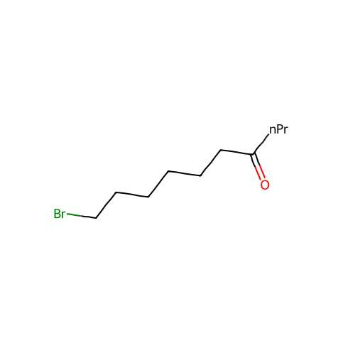 CCCC(=O)CCCCCCBr